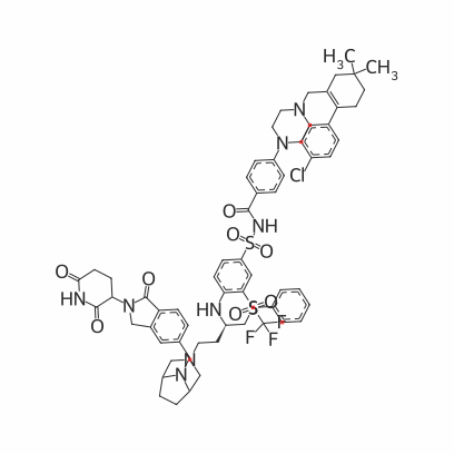 CC1(C)CCC(c2ccc(Cl)cc2)=C(CN2CCN(c3ccc(C(=O)NS(=O)(=O)c4ccc(N[C@H](CCN5CC6CCC(C5)N6Cc5ccc6c(c5)CN(C5CCC(=O)NC5=O)C6=O)CSc5ccccc5)c(S(=O)(=O)C(F)(F)F)c4)cc3)CC2)C1